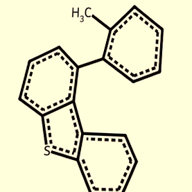 Cc1ccccc1-c1cccc2sc3ccccc3c12